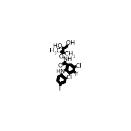 CC(C)(ONC(=O)c1cc(Cl)c(F)cc1Nc1ccc(I)cc1Cl)C(O)CO